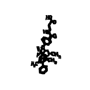 CC1=CC(C(CC(C)C)Oc2ccc(C(=O)NCCC(=O)O)cc2)(C(F)(F)F)C=C(C)C1c1ccccc1